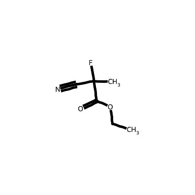 CCOC(=O)C(C)(F)C#N